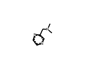 CN(C)Cc1cn[c]cn1